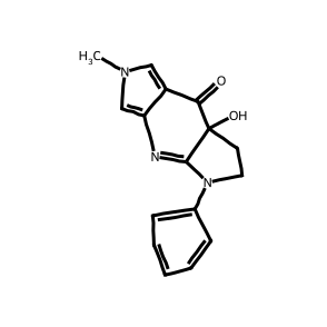 Cn1cc2c(c1)C(=O)C1(O)CCN(c3ccccc3)C1=N2